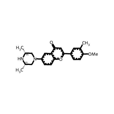 COc1ccc(-c2cc(=O)c3cc(N4C[C@@H](C)N[C@@H](C)C4)ccc3o2)cc1C